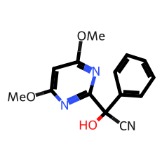 COc1cc(OC)nc(C(O)(C#N)c2ccccc2)n1